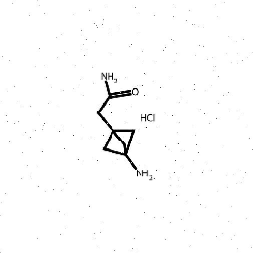 Cl.NC(=O)CC12CC(N)(C1)C2